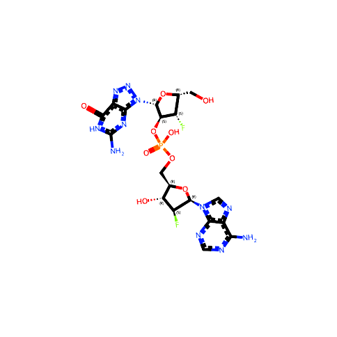 Nc1nc2c(nnn2[C@@H]2O[C@H](CO)[C@H](F)[C@H]2OP(=O)(O)OC[C@H]2O[C@@H](n3cnc4c(N)ncnc43)[C@@H](F)[C@@H]2O)c(=O)[nH]1